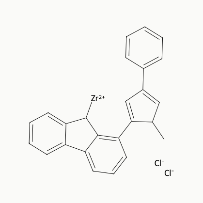 CC1C=C(c2ccccc2)C=C1c1cccc2c1[CH]([Zr+2])c1ccccc1-2.[Cl-].[Cl-]